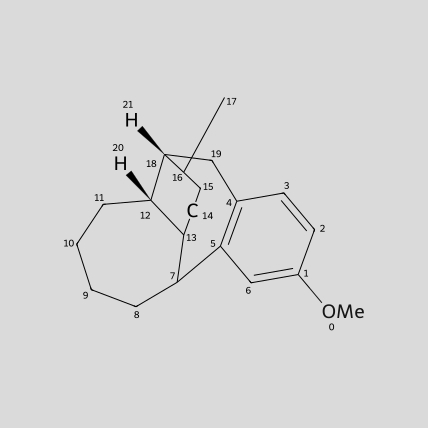 COc1ccc2c(c1)C1CCCC[C@H]3C1CCC(C)[C@H]3C2